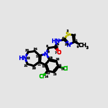 Cc1csc(NC(=O)Cn2c3c(c4c(Cl)cc(Cl)cc42)CCNCC3)n1